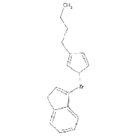 CCCCC1=C[CH]([Zr][C]2=CCc3ccccc32)C=C1